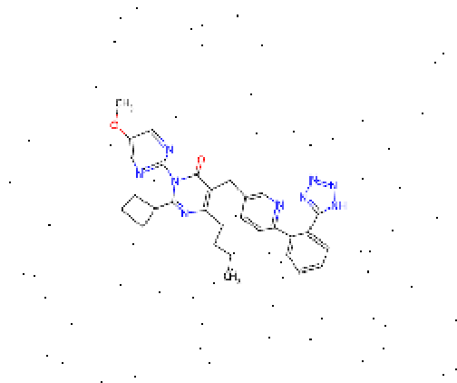 CCCCc1nc(C2CCC2)n(-c2ncc(OC)cn2)c(=O)c1Cc1ccc(-c2ccccc2-c2nnn[nH]2)nc1